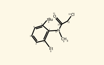 CCc1cccc(C(C)(C)C)c1N(C)C(=O)CCl